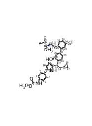 COC(=O)Nc1ccc(-c2cnc(C(CC3CC3)c3ccc(-c4cc(Cl)ccc4N/C=C(\N)C(F)F)c[n+]3O)[nH]2)cc1